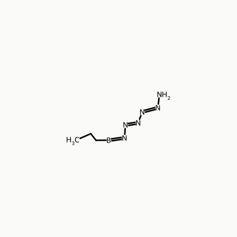 CCCB=NN=NN=NN